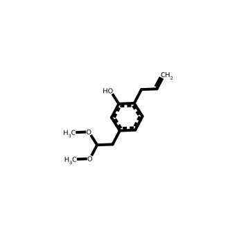 C=CCc1ccc(CC(OC)OC)cc1O